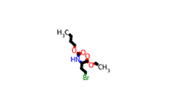 CCCCOC(=O)NC(CCBr)C(=O)OCC